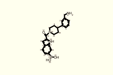 NCc1cccc(C2CCN(C(=O)c3cc4ccc(B(O)O)cc4[nH]3)CC2)c1